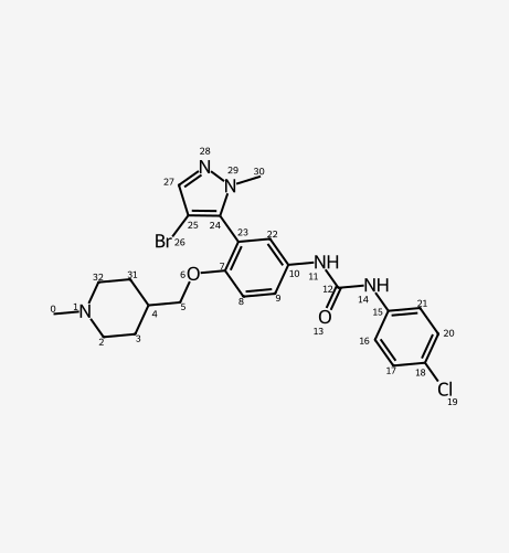 CN1CCC(COc2ccc(NC(=O)Nc3ccc(Cl)cc3)cc2-c2c(Br)cnn2C)CC1